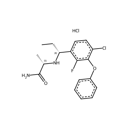 CC[C@@H](N[C@@H](C)C(N)=O)c1ccc(Cl)c(Oc2ccccc2)c1F.Cl